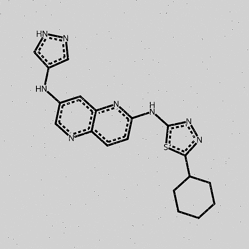 c1n[nH]cc1Nc1cnc2ccc(Nc3nnc(C4CCCCC4)s3)nc2c1